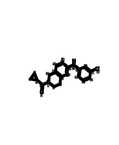 O=C(C1CC1)N1CCc2nc(Nc3cccc(Cl)c3)ncc2C1